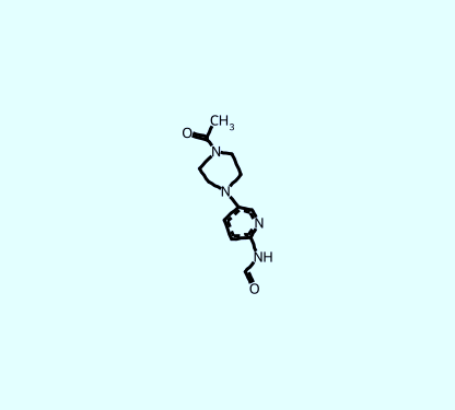 CC(=O)N1CCN(c2ccc(NC=O)nc2)CC1